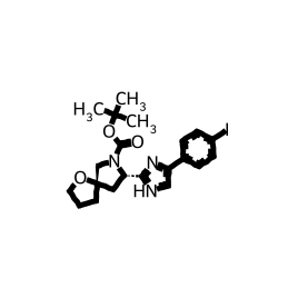 CC(C)(C)OC(=O)N1C[C@]2(CCCO2)C[C@H]1c1nc(-c2ccc(I)cc2)c[nH]1